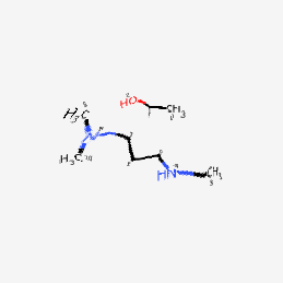 CCO.CNCCCN(C)C